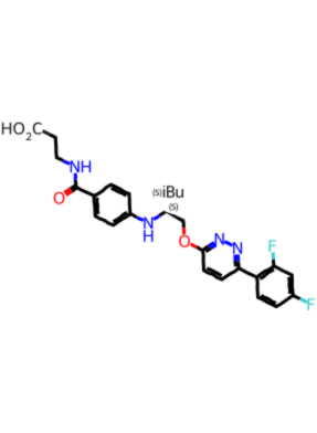 CC[C@H](C)[C@@H](COc1ccc(-c2ccc(F)cc2F)nn1)Nc1ccc(C(=O)NCCC(=O)O)cc1